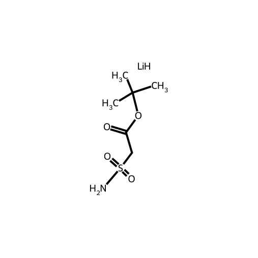 CC(C)(C)OC(=O)CS(N)(=O)=O.[LiH]